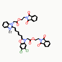 CCn1c(/C=C/C=C/C=C2\Oc3cc(Cl)c(Cl)cc3N2CC(=O)OCCN2C(=O)c3ccccc3C2=O)[n+](CC(=O)OCCN2C(=O)c3ccccc3C2=O)c2ccccc21